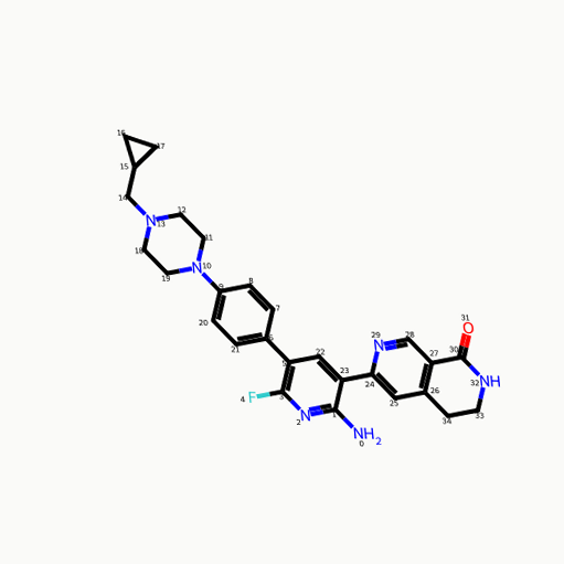 Nc1nc(F)c(-c2ccc(N3CCN(CC4CC4)CC3)cc2)cc1-c1cc2c(cn1)C(=O)NCC2